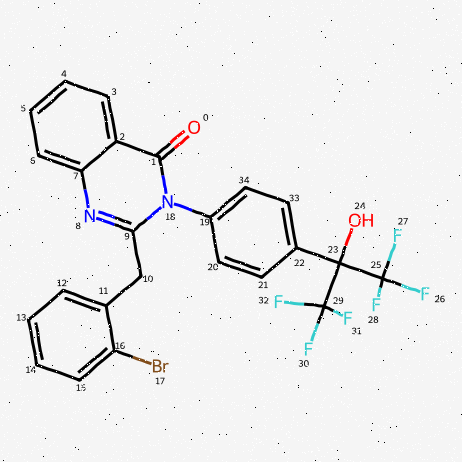 O=c1c2ccccc2nc(Cc2ccccc2Br)n1-c1ccc(C(O)(C(F)(F)F)C(F)(F)F)cc1